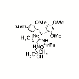 CCCCC(=O)Nc1c(NCC(C)(C)O)cc(C)nc1N(Cc1ccc(OC)cc1OC)Cc1ccc(OC)cc1OC